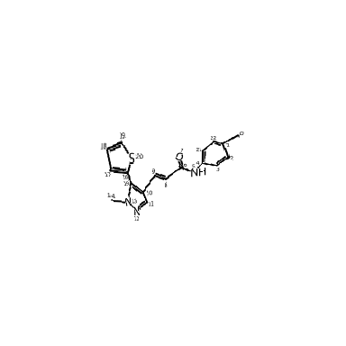 [CH2]c1ccc(NC(=O)/C=C/c2cnn(C)c2-c2cccs2)cc1